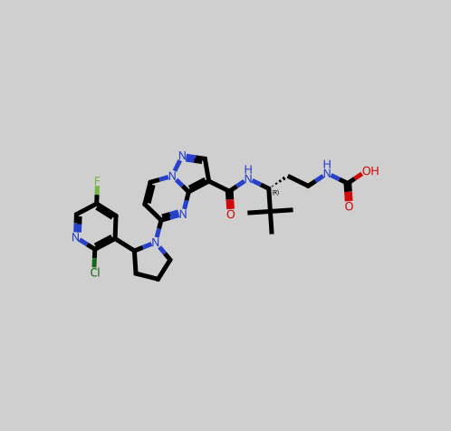 CC(C)(C)[C@@H](CCNC(=O)O)NC(=O)c1cnn2ccc(N3CCCC3c3cc(F)cnc3Cl)nc12